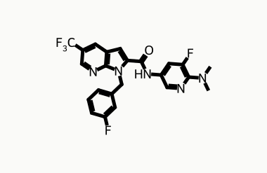 CN(C)c1ncc(NC(=O)c2cc3cc(C(F)(F)F)cnc3n2Cc2cccc(F)c2)cc1F